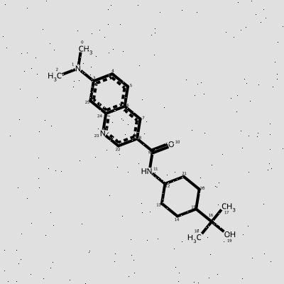 CN(C)c1ccc2cc(C(=O)NC3CCC(C(C)(C)O)CC3)cnc2c1